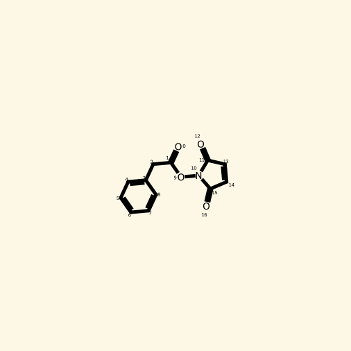 O=C(Cc1ccccc1)ON1C(=O)C=CC1=O